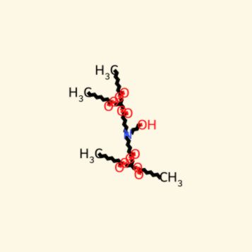 CCCCCCCC(=O)OCC(COC(=O)CCCCCCC)COC(=O)CCCCCN(CCCCO)CCCCCC(=O)OCC(COC(=O)CCCCCCC)COC(=O)CCCCCCC